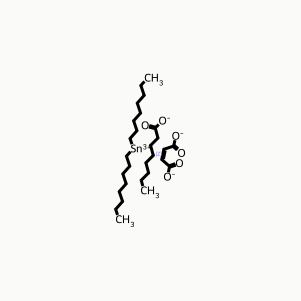 CCCCCCCC(=O)[O-].CCCCCCC[CH2][Sn+3][CH2]CCCCCCC.O=C([O-])/C=C\C(=O)[O-]